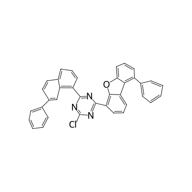 Clc1nc(-c2cccc3ccc(-c4ccccc4)cc23)nc(-c2cccc3c2oc2cccc(-c4ccccc4)c23)n1